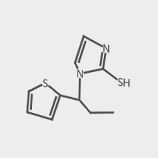 CCC(c1cccs1)n1ccnc1S